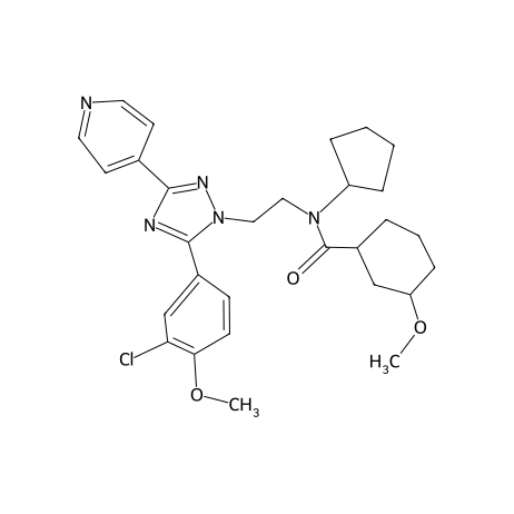 COc1ccc(-c2nc(-c3ccncc3)nn2CCN(C(=O)C2CCCC(OC)C2)C2CCCC2)cc1Cl